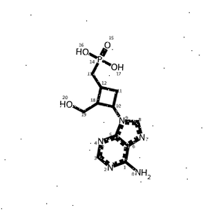 Nc1ncnc2c1ncn2C1CC(CP(=O)(O)O)C1CO